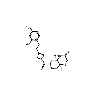 CC(=O)c1cc(C(F)(F)F)ccc1CCC1CN(C(=O)N2CC[C@@H]3OCC(=O)N[C@@H]3C2)C1